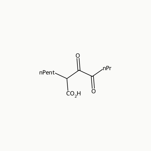 CCCCCC(C(=O)O)C(=O)C(=O)CCC